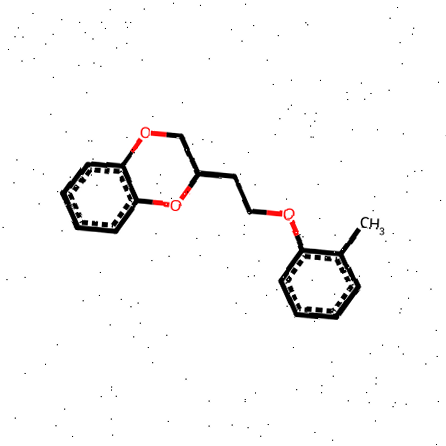 Cc1ccccc1OCCC1COc2ccccc2O1